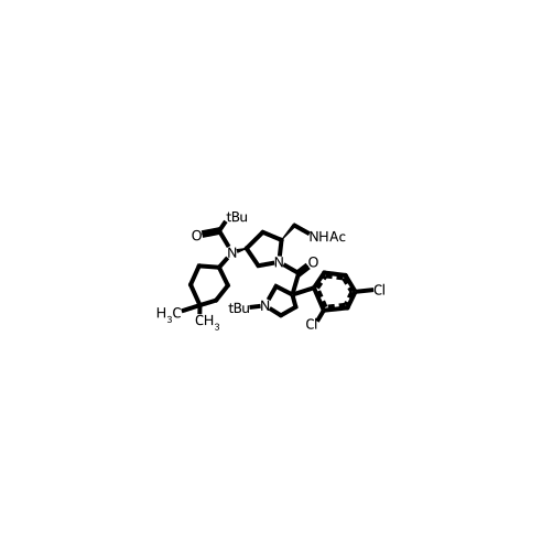 CC(=O)NC[C@@H]1C[C@H](N(C(=O)C(C)(C)C)C2CCC(C)(C)CC2)CN1C(=O)C1(c2ccc(Cl)cc2Cl)CCN(C(C)(C)C)C1